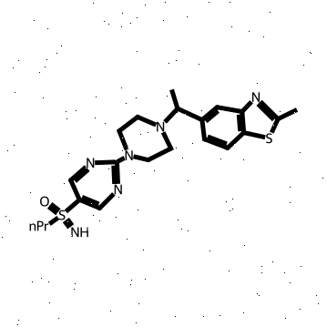 CCCS(=N)(=O)c1cnc(N2CCN(C(C)c3ccc4sc(C)nc4c3)CC2)nc1